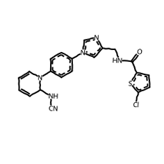 N#CNC1C=CC=CN1c1ccc(-n2cnc(CNC(=O)c3ccc(Cl)s3)c2)cc1